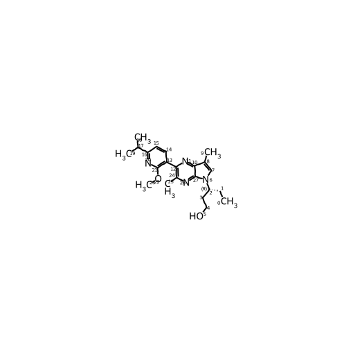 CC[C@H](CCO)n1cc(C)c2nc(-c3ccc(C(C)C)nc3OC)c(C)nc21